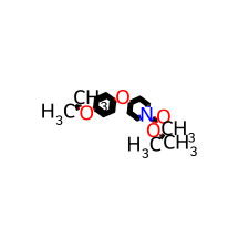 CC(C)Oc1ccc(OC2CCN(C(=O)OC(C)(C)C)CC2)cc1